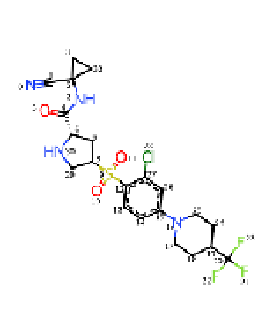 N#CC1(NC(=O)[C@@H]2C[C@@H](S(=O)(=O)c3ccc(N4CCC(C(F)(F)F)CC4)cc3Cl)CN2)CC1